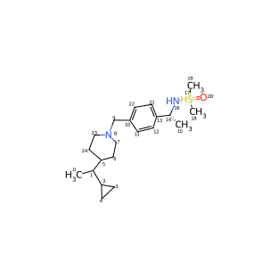 CC(C1CC1)C1CCN(Cc2ccc([C@@H](C)N[SH](C)(C)=O)cc2)CC1